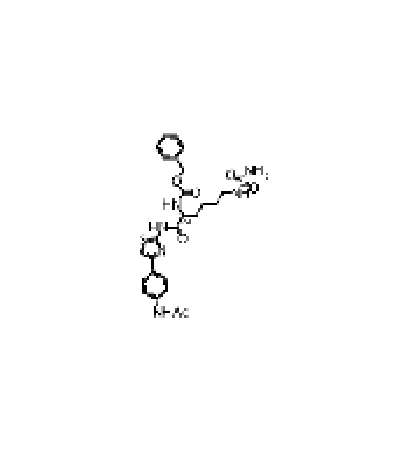 CC(=O)Nc1ccc(-c2csc(NC(=O)[C@H](CCCCNS(N)(=O)=O)NC(=O)OCc3ccccc3)n2)cc1